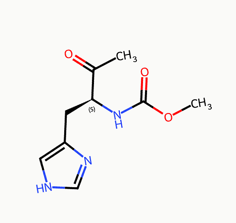 COC(=O)N[C@@H](Cc1c[nH]cn1)C(C)=O